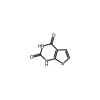 O=c1[nH]c2c(c(=O)[nH]1)C=C[N]2